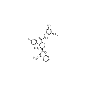 Cc1cc(F)ccc1C1CN(C(=O)O[C@H](C)c2ccccc2)CCN1C(=O)NCc1cc(C(F)(F)F)cc(C(F)(F)F)c1